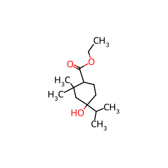 CCOC(=O)C1CCC(O)(C(C)C)CC1(C)C